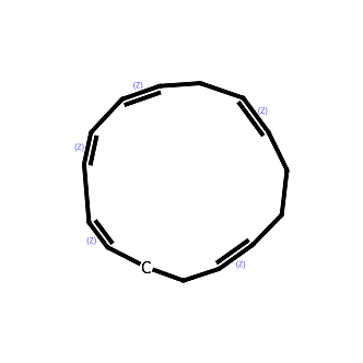 C1=C\C=C/CC/C=C\CC/C=C\C\C=C/1